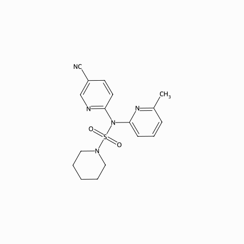 Cc1cccc(N(c2ccc(C#N)cn2)S(=O)(=O)N2CCCCC2)n1